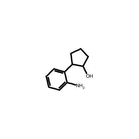 Nc1ccccc1C1CCCC1O